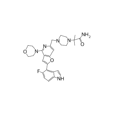 CC(C)(C(N)=O)N1CCN(Cc2cc3oc(-c4c(F)ccc5[nH]ccc45)cc3c(N3CCOCC3)n2)CC1